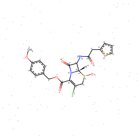 COc1ccc(COC(=O)C2=C(Cl)C[S+]([O-])[C@H]3C(NC(=O)Cc4cccs4)C(=O)N23)cc1